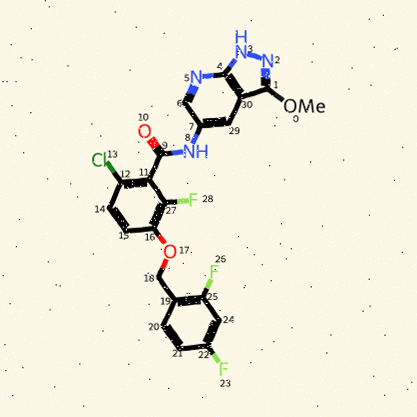 COc1n[nH]c2ncc(NC(=O)c3c(Cl)ccc(OCc4ccc(F)cc4F)c3F)cc12